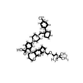 C[Si](C)(C)CCOCn1ccc2cc3c(nc21)OCCCN3c1cc(N2CCN(CC3=C(c4ccc(Cl)cc4)CCCC3)CC2)ccc1C(=O)O